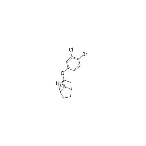 CN1C2CCC1CC(Oc1ccc(Br)c(Cl)c1)C2